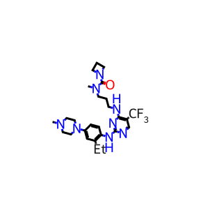 CCc1cc(N2CCN(C)CC2)ccc1Nc1ncc(C(F)(F)F)c(NCCCN(C)C(=O)N2CCC2)n1